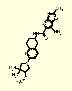 COC1CN(c2ccc3c(n2)CCC(NC(=O)c2sc4nc(C)sc4c2N)C3)CC1(C)N